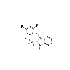 CN1c2ccccc2N2Cc3c(F)cc(F)cc3C3(C)CC3(C)C12